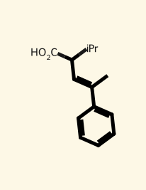 CC(=CC(C(=O)O)C(C)C)c1ccccc1